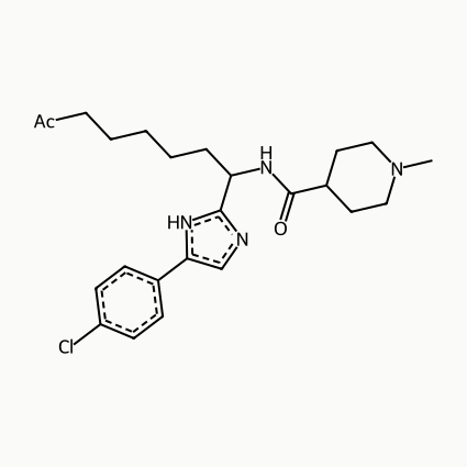 CC(=O)CCCCCC(NC(=O)C1CCN(C)CC1)c1ncc(-c2ccc(Cl)cc2)[nH]1